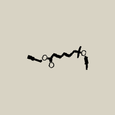 C#CCOC(=O)C=CC=CCC(C)(C)OC#CC